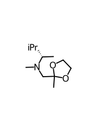 CC(C)[C@H](C)N(C)CC1(C)OCCO1